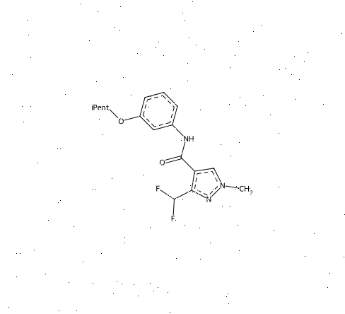 CCCC(C)Oc1cccc(NC(=O)c2cn(C)nc2C(F)F)c1